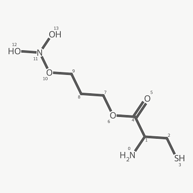 NC(CS)C(=O)OCCCON(O)O